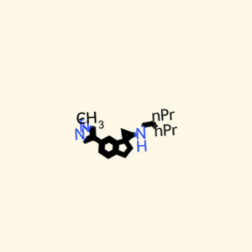 CCCC(CCC)CNC1CC12CCc1ccc(-c3cnn(C)c3)cc12